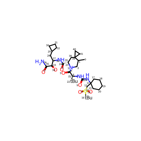 CC1CN(C(=O)[C@@H](NC(=O)NC2(CS(=O)(=O)C(C)(C)C)CCCCC2)C(C)(C)C)[C@H](C(=O)NC(CC2CCC2)C(=O)C(N)=O)CC12CC2